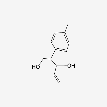 C=CC(O)C(CO)c1ccc(C)cc1